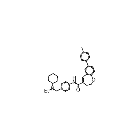 CCN(Cc1ccc(NC(=O)C2=Cc3cc(-c4ccc(C)cc4)ccc3OCC2)cc1)C1CCCCC1